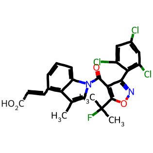 Cc1cn(C(=O)c2c(-c3c(Cl)cc(Cl)cc3Cl)noc2C(C)(C)F)c2cccc(/C=C/C(=O)O)c12